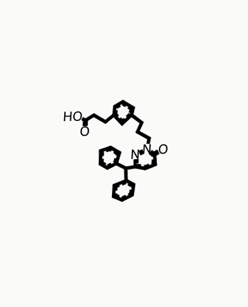 O=C(O)CCc1cccc(CCCn2nc(C(c3ccccc3)c3ccccc3)ccc2=O)c1